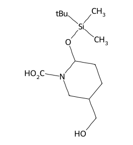 CC(C)(C)[Si](C)(C)OC1CCC(CO)CN1C(=O)O